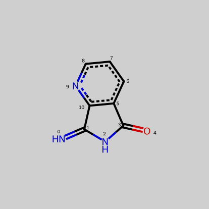 N=C1NC(=O)c2cccnc21